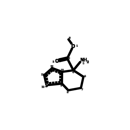 COC(=O)C1(N)CCCc2sccc21